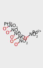 O=[N+]([O-])[O-].O=[N+]([O-])[O-].O=[N+]([O-])[O-].O=[N+]([O-])[O-].O=[N+]([O-])[O-].O=[N+]([O-])[O-].[Pd+2].[Pt+4]